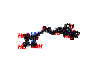 COc1cccc(OC)c1-c1cc(C(=O)NC2(C(=O)O)C3CC4CC(C3)CC2C4)nn1-c1ccc(C(O)N(C)CCCN(C)CCCN(C)C(=O)CCCCCNC(=O)CN2CCN(CC(=O)O)CCN(CC(=O)O)CCN(CC(=O)O)CC2)cc1C(C)C